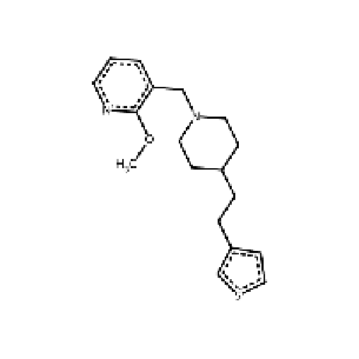 COc1ncccc1CN1CCC(CCc2ccsc2)CC1